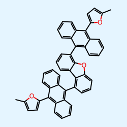 Cc1ccc(-c2c3ccccc3c(-c3cccc4c3oc3cccc(-c5c6ccccc6c(-c6ccc(C)o6)c6ccccc56)c34)c3ccccc23)o1